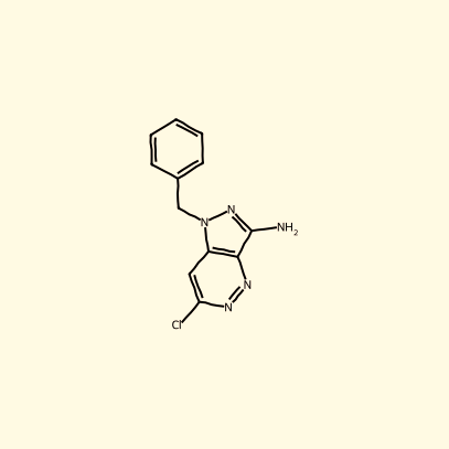 Nc1nn(Cc2ccccc2)c2cc(Cl)nnc12